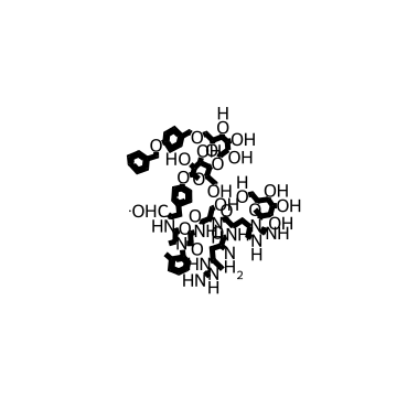 Cc1ccccc1N(C(=O)CNC(=O)C(CO)NC(=O)C(CC1CNC(=N)N1C1OC(CO)C(O)C(O)C1O)NC(=O)C(N)CC1CNC(=N)N1)C(C)C(=O)NC([C]=O)Cc1ccc(OC2OC(CO)C(OC3OC(COCc4ccc(OCc5ccccc5)cc4)C(O)C(O)C3O)C(O)C2O)cc1